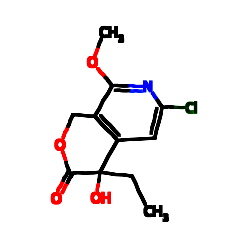 CCC1(O)C(=O)OCc2c1cc(Cl)nc2OC